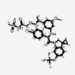 COc1cc(NC(C(=O)N2CC3(CC3)c3ccc(OC(F)(F)F)cc32)c2ccc(Cl)cc2)cc(C(C)=NOCC(=O)NS(C)(=O)=O)c1